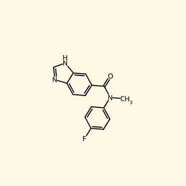 CN(C(=O)c1ccc2nc[nH]c2c1)c1ccc(F)cc1